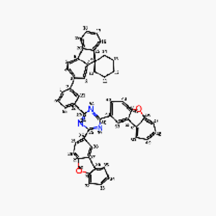 c1cc(-c2ccc3c(c2)C2(CCCCC2)c2ccccc2-3)cc(-c2nc(-c3ccc4oc5ccccc5c4c3)nc(-c3ccc4oc5ccccc5c4c3)n2)c1